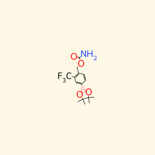 CC1(C)OB(c2ccc(COC(N)=O)c(C(F)(F)F)c2)OC1(C)C